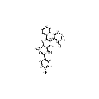 Nc1nc(-c2ccncc2)c(-c2ccncc2Cl)cc1NC(=O)c1ccc(F)cc1